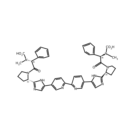 CN(C(=O)O)[C@@H](C(=O)N1CCC[C@H]1c1ncc(-c2ccc(-c3ccc(-c4cnc([C@@H]5CCCN5C(=O)[C@@H](c5ccccc5)N(C)C(=O)O)[nH]4)cn3)nc2)[nH]1)c1ccccc1